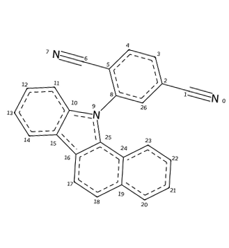 N#Cc1ccc(C#N)c(-n2c3ccccc3c3ccc4ccccc4c32)c1